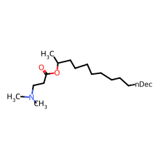 CCCCCCCCCCCCCCCCCCC(C)OC(=O)CCN(C)C